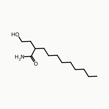 CCCCCCCCCC(CCO)C(N)=O